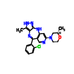 Cc1[nH]nc2c1N=C(c1ccccc1Cl)c1cnc(N3CCO[C@@H](C)C3)cc1N2